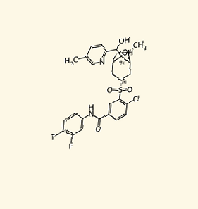 Cc1ccc(C(O)[C@@]2(O)C3C[C@@H](S(=O)(=O)c4cc(C(=O)Nc5ccc(F)c(F)c5)ccc4Cl)CC2[C@@H](C)C3)nc1